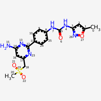 Cc1cc(NC(=O)Nc2ccc(-c3nc(N)cc(CS(C)(=O)=O)n3)cc2)no1